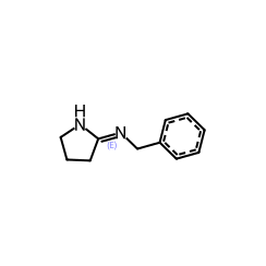 c1ccc(C/N=C2\CCCN2)cc1